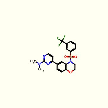 CN(C)c1nccc(-c2ccc3c(c2)N(S(=O)(=O)c2cccc(C(F)(F)F)c2)CCO3)n1